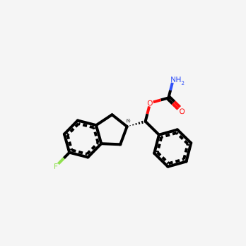 NC(=O)OC(c1ccccc1)[C@H]1Cc2ccc(F)cc2C1